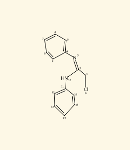 ClCC(=Nc1ccccc1)Nc1ccccc1